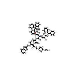 COc1ccc(COC(=O)C2=C(CSc3nc4ccncc4s3)CS[C@H]3C(NC(=O)/C(=N\O[C@@H](C)C(=O)OC(c4ccccc4)c4ccccc4)c4csc(NC(c5ccccc5)(c5ccccc5)c5ccccc5)n4)C(=O)N23)cc1